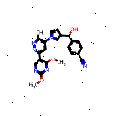 COc1ncc(-c2cc(-n3ccc(C(O)c4ccc(C#N)cc4)c3)c(C)nn2)c(OC)n1